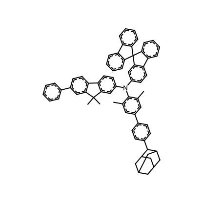 Cc1cc(-c2ccc(C3C4CC5CC(C4)CC3C5)cc2)cc(C)c1N(c1ccc2c(c1)C(C)(C)c1cc(-c3ccccc3)ccc1-2)c1ccc2c(c1)C1(c3ccccc3-c3ccccc31)c1ccccc1-2